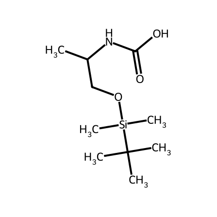 CC(CO[Si](C)(C)C(C)(C)C)NC(=O)O